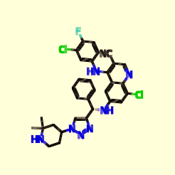 CC1(C)CC(n2cc([C@@H](Nc3cc(Cl)c4ncc(C#N)c(Nc5ccc(F)c(Cl)c5)c4c3)c3ccccc3)nn2)CCN1